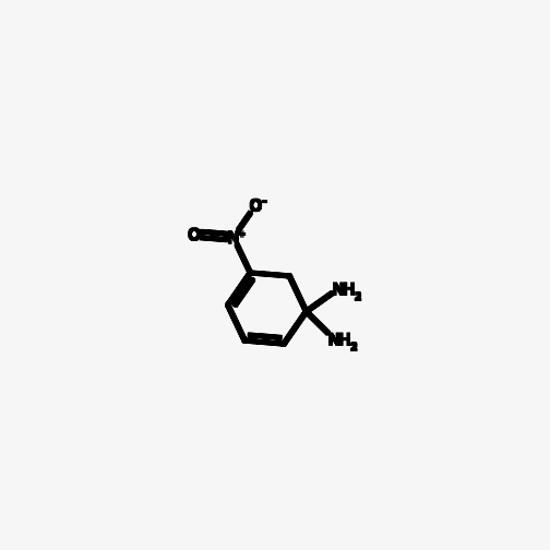 NC1(N)C=CC=C([N+](=O)[O-])C1